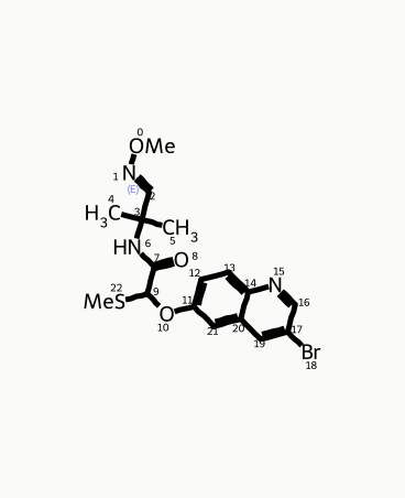 CO/N=C/C(C)(C)NC(=O)C(Oc1ccc2ncc(Br)cc2c1)SC